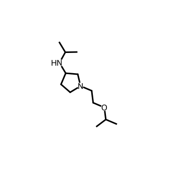 CC(C)NC1CCN(CCOC(C)C)C1